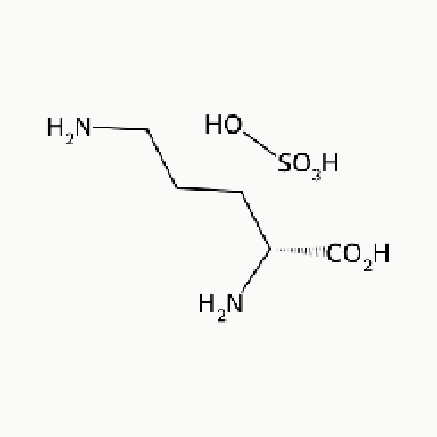 NCCC[C@@H](N)C(=O)O.O=S(=O)(O)O